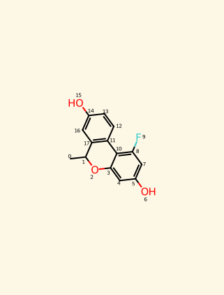 CC1Oc2cc(O)cc(F)c2-c2ccc(O)cc21